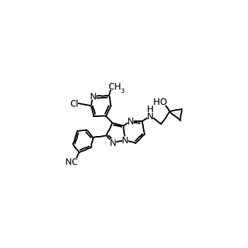 Cc1cc(-c2c(-c3cccc(C#N)c3)nn3ccc(NCC4(O)CC4)nc23)cc(Cl)n1